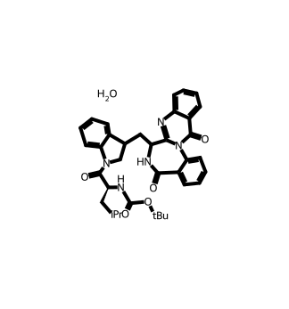 CC(C)C[C@H](NC(=O)OC(C)(C)C)C(=O)N1CC(CC2NC(=O)c3ccccc3-n3c2nc2ccccc2c3=O)c2ccccc21.O